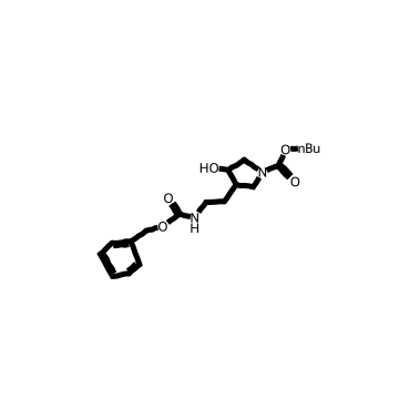 CCCCOC(=O)N1CC(O)C(CCNC(=O)OCc2ccccc2)C1